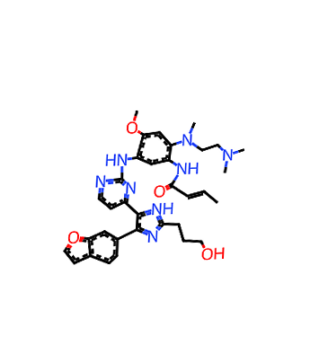 C/C=C/C(=O)Nc1cc(Nc2nccc(-c3[nH]c(CCCO)nc3-c3ccc4ccoc4c3)n2)c(OC)cc1N(C)CCN(C)C